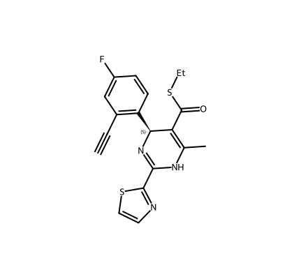 C#Cc1cc(F)ccc1[C@@H]1N=C(c2nccs2)NC(C)=C1C(=O)SCC